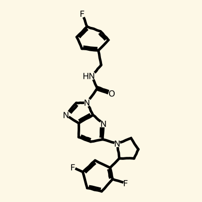 O=C(NCc1ccc(F)cc1)n1cnc2ccc(N3CCCC3c3cc(F)ccc3F)nc21